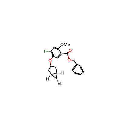 CC[C@@H]1[C@H]2C[C@@H](Oc3cc(C(=O)OCc4ccccc4)c(OC)cc3F)C[C@@H]12